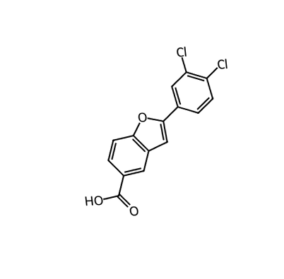 O=C(O)c1ccc2oc(-c3ccc(Cl)c(Cl)c3)cc2c1